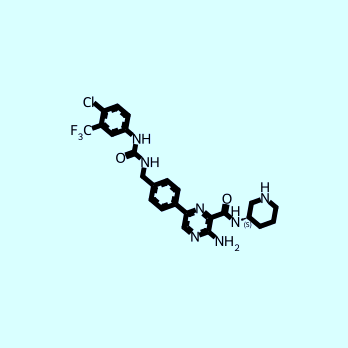 Nc1ncc(-c2ccc(CNC(=O)Nc3ccc(Cl)c(C(F)(F)F)c3)cc2)nc1C(=O)N[C@H]1CCCNC1